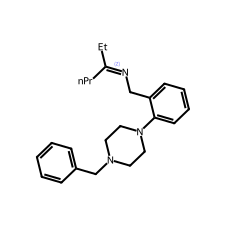 CCC/C(CC)=N\Cc1ccccc1N1CCN(Cc2ccccc2)CC1